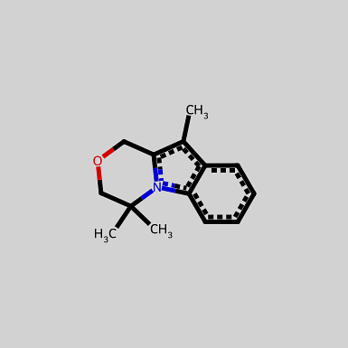 Cc1c2n(c3ccccc13)C(C)(C)COC2